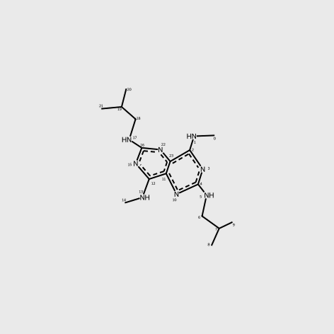 CNc1nc(NCC(C)C)nc2c(NC)nc(NCC(C)C)nc12